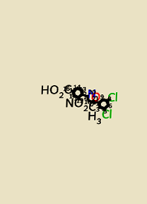 CC1(c2cc(Cl)cc(Cl)c2)CC(c2ccc(C(=O)O)cc2[N+](=O)[O-])=NO1